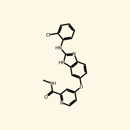 CNC(=O)c1cc(Oc2ccc3nc(Nc4ccccc4Cl)[nH]c3c2)ccn1